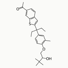 CCC(CC)(c1ccc(OCC(O)C(C)(C)C)c(C)c1)c1cc2ccc(C(C)=O)cc2s1